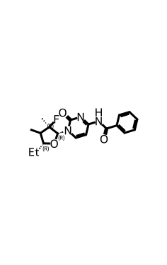 CC[C@H]1O[C@@H](n2ccc(NC(=O)c3ccccc3)nc2=O)[C@](C)(F)C1C